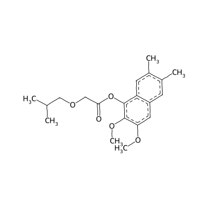 COc1cc2cc(C)c(C)cc2c(OC(=O)COCC(C)C)c1OC